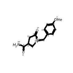 COc1ccc(CN2CC(C(N)=O)CC2=O)cc1